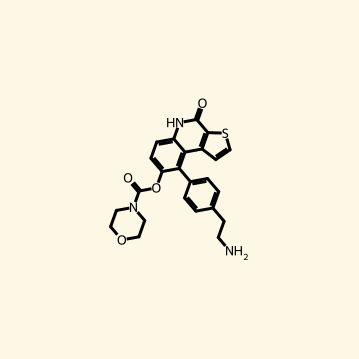 NCCc1ccc(-c2c(OC(=O)N3CCOCC3)ccc3[nH]c(=O)c4sccc4c23)cc1